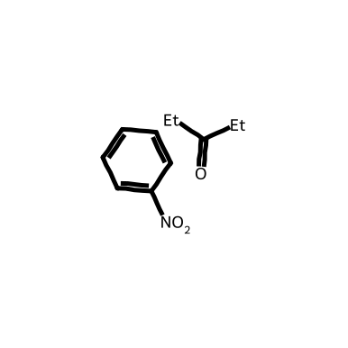 CCC(=O)CC.O=[N+]([O-])c1ccccc1